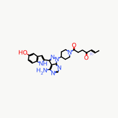 C/C=C/C(=O)CCC(=O)N1CCC(n2nc(-c3cc4cc(O)ccc4[nH]3)c3c(N)ncnc32)CC1